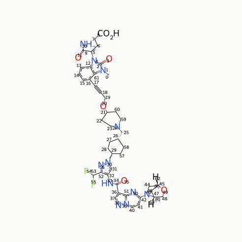 Cn1c(=O)n(C(CCC(=O)O)C(N)=O)c2cccc(C#CCOC3CCN(C[C@H]4CC[C@H](n5cc(NC(=O)c6cnn7ccc(N8C[C@H]9C[C@@H]8CO9)nc67)c(C(F)F)n5)CC4)CC3)c21